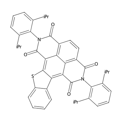 CC(C)c1cccc(C(C)C)c1N1C(=O)c2ccc3c4c(c5c(sc6ccccc65)c(c24)C1=O)C(=O)N(c1c(C(C)C)cccc1C(C)C)C3=O